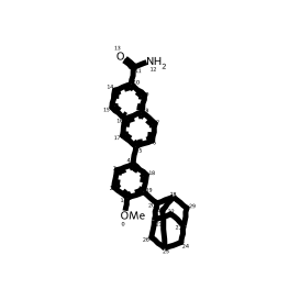 COc1ccc(-c2ccc3cc(C(N)=O)ccc3c2)cc1C1C2CC3CC(C2)CC1C3